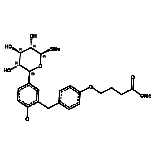 COC(=O)CCCOc1ccc(Cc2cc([C@@H]3O[C@H](SC)[C@@H](O)[C@H](O)[C@H]3O)ccc2Cl)cc1